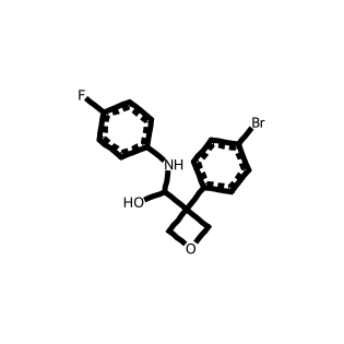 OC(Nc1ccc(F)cc1)C1(c2ccc(Br)cc2)COC1